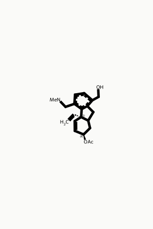 C=C[C@@]12C=C[C@H](OC(C)=O)CC1Cc1c(CO)ccc(CNC)c12